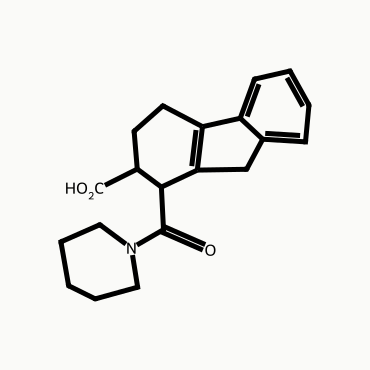 O=C(O)C1CCC2=C(Cc3ccccc32)C1C(=O)N1CCCCC1